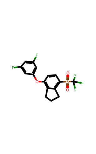 O=S(=O)(c1ccc(Oc2cc(F)cc(F)c2)c2c1CCC2)C(F)(F)F